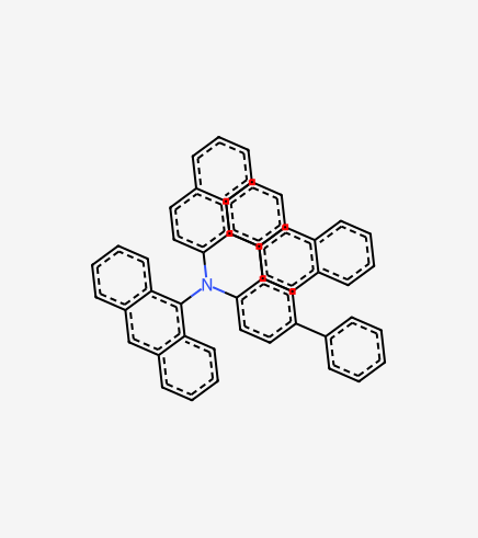 c1ccc(-c2ccc(N(c3ccc4ccccc4c3-c3ccc4ccccc4c3)c3c4ccccc4cc4ccccc34)c(-c3ccccc3)c2)cc1